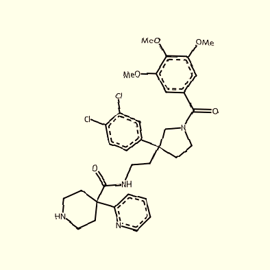 COc1cc(C(=O)N2CCC(CCNC(=O)C3(c4ccccn4)CCNCC3)(c3ccc(Cl)c(Cl)c3)C2)cc(OC)c1OC